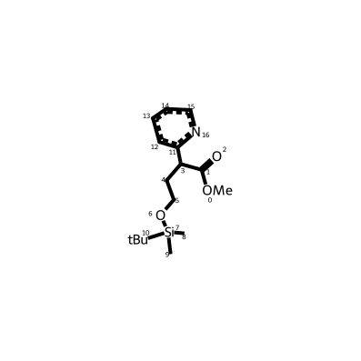 COC(=O)C(CCO[Si](C)(C)C(C)(C)C)c1ccccn1